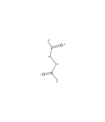 CC(=O)[CH]CC(C)=O